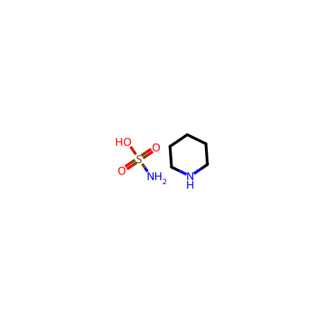 C1CCNCC1.NS(=O)(=O)O